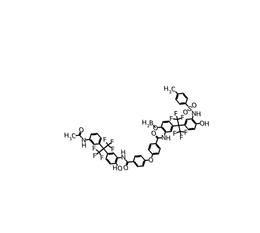 BOc1ccc(C(c2ccc(O)c(NS(=O)(=O)c3ccc(C)cc3)c2)(C(F)(F)F)C(F)(F)F)cc1NC(=O)c1ccc(Oc2ccc(C(=O)Nc3cc(C(c4cccc(NC(C)=O)c4)(C(F)(F)F)C(F)(F)F)ccc3O)cc2)cc1